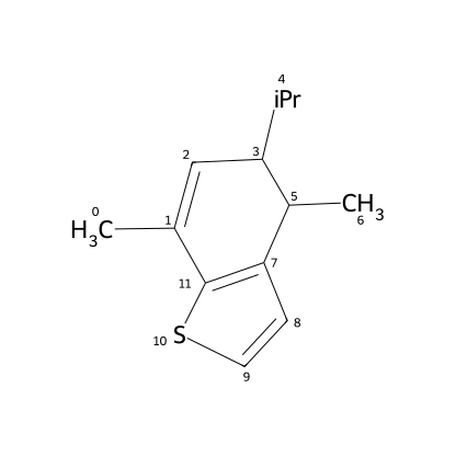 CC1=CC(C(C)C)C(C)c2ccsc21